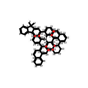 CC1(C)c2ccccc2-c2ccc(-c3ccccc3N(c3ccccc3-c3cccc4c3ccc3ccccc34)c3ccccc3-c3cccc4cccc(C5CCCCC5)c34)cc21